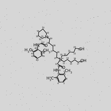 Cc1cccc(C)c1NC(=O)C[N+](CCCCCO)(CCCCCS)CCCCCCN1CCCC[C@H]1C(=O)Nc1c(C)cccc1C